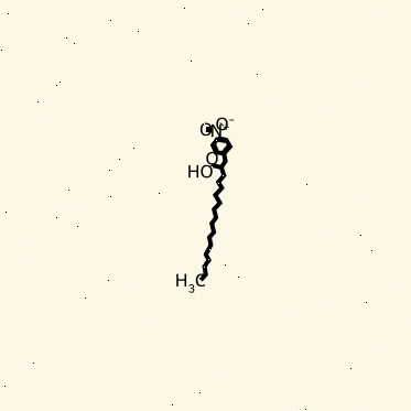 CCCCCCCCCCCCCCCCC(Cc1ccc([N+](=O)[O-])cc1)C(=O)O